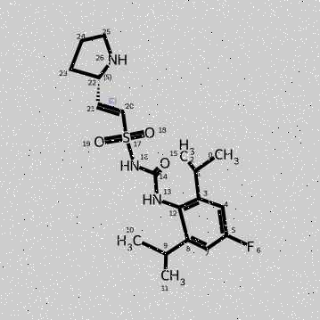 CC(C)c1cc(F)cc(C(C)C)c1NC(=O)NS(=O)(=O)/C=C/[C@@H]1CCCN1